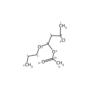 CCCOC(CC(C)Cl)OC(C)=O